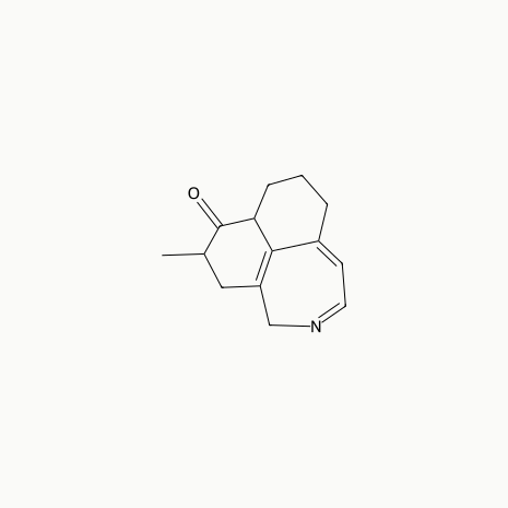 CC1CC2=C3C(=CC=NC2)CCCC3C1=O